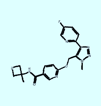 Cn1nnc(-c2ccc(F)cn2)c1COc1ccc(C(=O)NC2(C)COC2)cn1